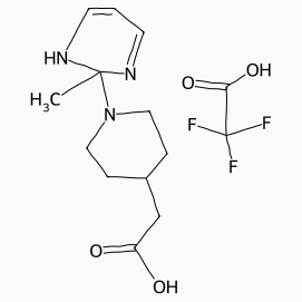 CC1(N2CCC(CC(=O)O)CC2)N=CC=CN1.O=C(O)C(F)(F)F